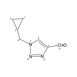 O=Cc1cn(CC2CC2)nn1